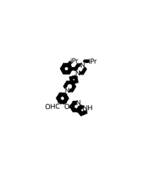 CC(C)CN1CCN(C2CC3(CCN(c4ccc(C=O)c(Oc5cnc6[nH]ccc6c5)c4)CC3)C2)C(c2ccccc2C(C)C)C1